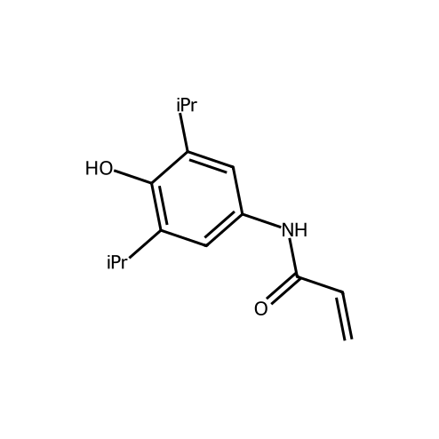 C=CC(=O)Nc1cc(C(C)C)c(O)c(C(C)C)c1